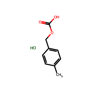 Cc1ccc(COC(=O)O)cc1.Cl